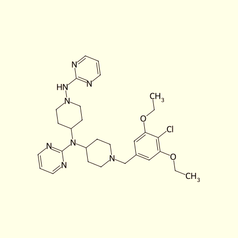 CCOc1cc(CN2CCC(N(c3ncccn3)C3CCN(Nc4ncccn4)CC3)CC2)cc(OCC)c1Cl